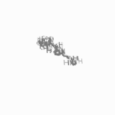 Cc1noc(C)c1S(=O)(=O)NC(CNC(=O)c1cccc2c(CCCNC3NCCN3)n[nH]c12)C(=O)O